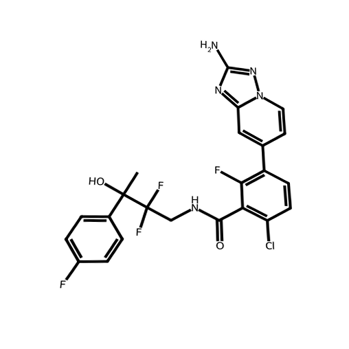 CC(O)(c1ccc(F)cc1)C(F)(F)CNC(=O)c1c(Cl)ccc(-c2ccn3nc(N)nc3c2)c1F